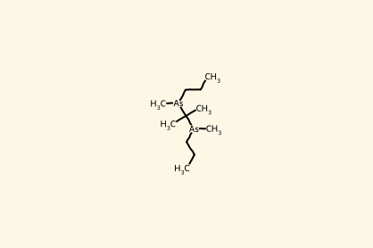 CCC[As](C)C(C)(C)[As](C)CCC